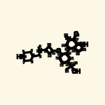 CN(CC1CCNCC1)C1CC(Oc2ccc(C(C)(C)O)cc2-c2cn(C)c(=O)c3[nH]ccc23)C1